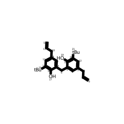 C=CCc1cc(Cc2cc(CC=C)cc(C(C)(C)C)c2O)c(O)c(C(C)(C)C)c1